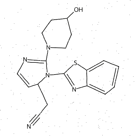 N#CCC1C=CN=C(N2CCC(O)CC2)N1c1nc2ccccc2s1